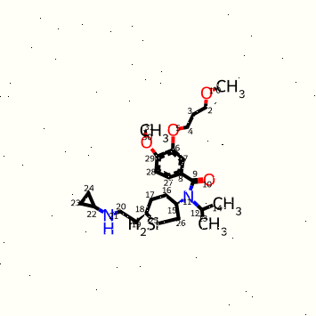 COCCCOc1cc(C(=O)N(C(C)C)[C@@H]2CC[C@H](CCNC3CC3)[SiH2]C2)ccc1OC